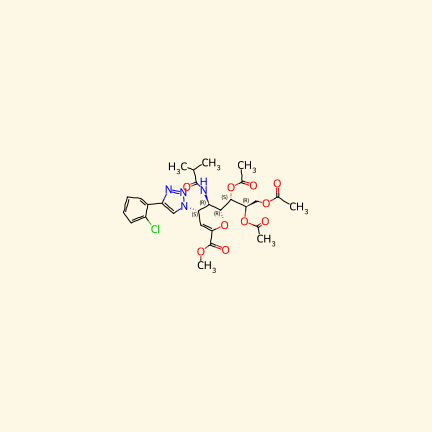 COC(=O)C1=C[C@H](n2cc(-c3ccccc3Cl)nn2)[C@@H](NC(=O)C(C)C)[C@H]([C@H](OC(C)=O)[C@@H](COC(C)=O)OC(C)=O)O1